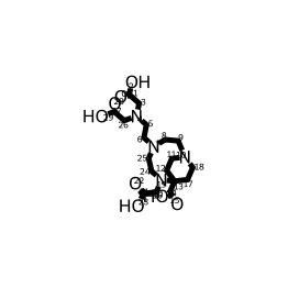 O=C(O)CN(CCN1CCN2CCC(C(=O)O)(CC2)N(CC(=O)O)CC1)CC(=O)O